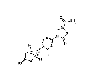 NC(=O)[C@H]1CN(c2ccc([C@H]3[C@@H]4CN(O)C[C@@H]43)c(F)c2)C(=O)O1